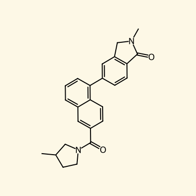 CC1CCN(C(=O)c2ccc3c(-c4ccc5c(c4)CN(C)C5=O)cccc3c2)C1